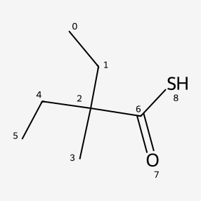 CCC(C)(CC)C(=O)S